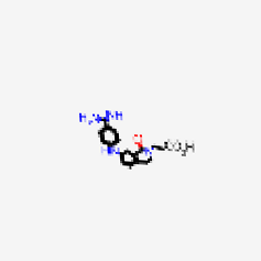 N=C(N)c1ccc(Nc2ccc3c(c2)C(=O)N(CCC(=O)O)CC3)cc1